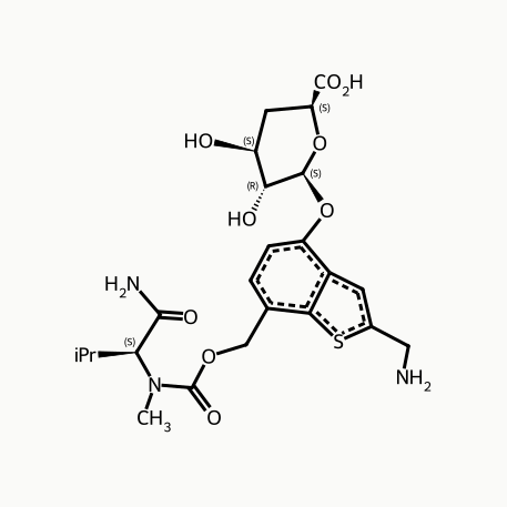 CC(C)[C@@H](C(N)=O)N(C)C(=O)OCc1ccc(O[C@@H]2O[C@H](C(=O)O)C[C@H](O)[C@H]2O)c2cc(CN)sc12